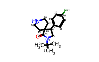 CC(C)(C)N1CC(c2ccc(F)cc2)C2(CCNCC2)C1=O